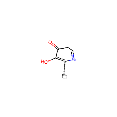 CCC1=C(O)C(=O)CC=N1